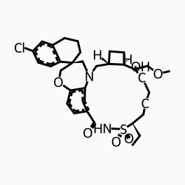 CC[C@@H]1CCCC[C@@](O)(COC)[C@@H]2CC[C@H]2CN2C[C@@]3(CCCc4cc(Cl)ccc43)COc3ccc(cc32)C(=O)NS1(=O)=O